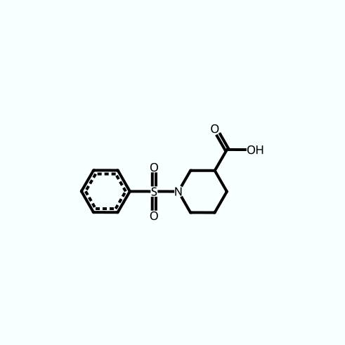 O=C(O)C1CCCN(S(=O)(=O)c2ccccc2)C1